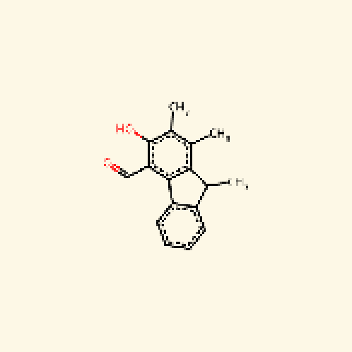 Cc1c(C)c2c(c(C=O)c1O)-c1ccccc1C2C